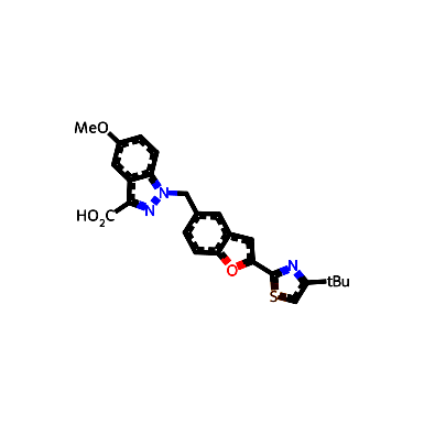 COc1ccc2c(c1)c(C(=O)O)nn2Cc1ccc2oc(-c3nc(C(C)(C)C)cs3)cc2c1